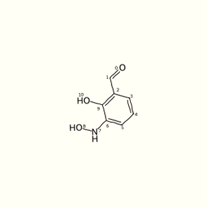 O=Cc1cccc(NO)c1O